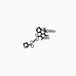 COC(=O)C1=C(C)NC(C)=C(C(=O)OCCOC(=O)c2cccnc2)C1c1ccccc1C(F)(F)F